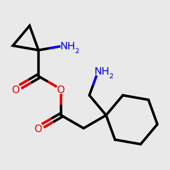 NCC1(CC(=O)OC(=O)C2(N)CC2)CCCCC1